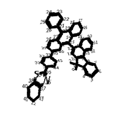 CC1(C)c2ccccc2-c2c1cc(-c1c3ccccc3c(-c3ccccc3)c3ccc(-c4ccc(-c5nc6c(s5)C=CCC6)cc4)cc13)c1ccccc21